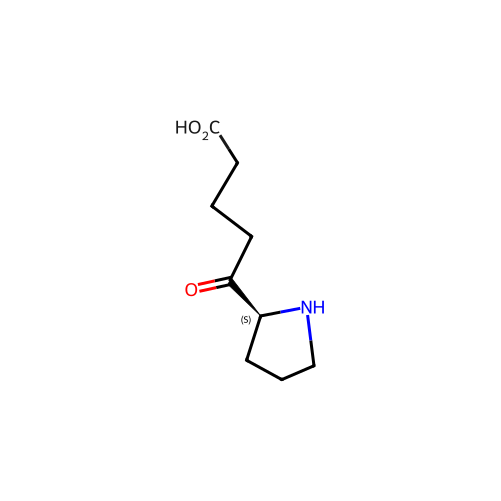 O=C(O)CCCC(=O)[C@@H]1CCCN1